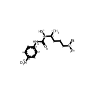 CCN(CC)CCCC(C)N(S)C(=O)Nc1ccc([N+](=O)[O-])cc1